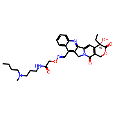 CCCCN(C)CCCNC(=O)CO/N=C/c1c2c(nc3ccccc13)-c1cc3c(c(=O)n1C2)COC(=O)[C@]3(O)CC